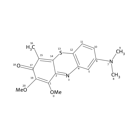 COc1c2nc3cc(N(C)C)ccc3sc-2c(C)c(=O)c1OC